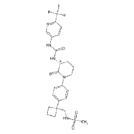 CS(=O)(=O)NCC1(c2ccc(N3CCC[C@@H](NC(=O)Nc4ccc(C(F)(F)F)nc4)C3=O)cc2)CCC1